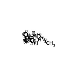 CCCNCC1CCN(C(=O)CCC2(c3ccc(Cl)cc3)c3ccccc3-c3nccn32)CC1